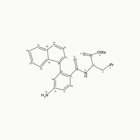 COC(=O)C(CC(C)C)NC(=O)c1ccc(N)cc1-c1cccc2ccccc12